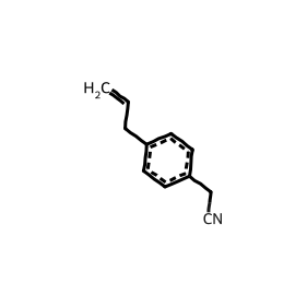 C=CCc1ccc(CC#N)cc1